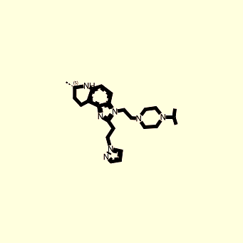 CC(C)N1CCN(CCn2c(CCn3cccn3)nc3c4c(ccc32)N[C@@H](C)CC4)CC1